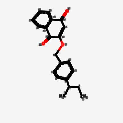 CCC(C)c1ccc(COC2=CC(=O)c3ccccc3C2=O)cc1